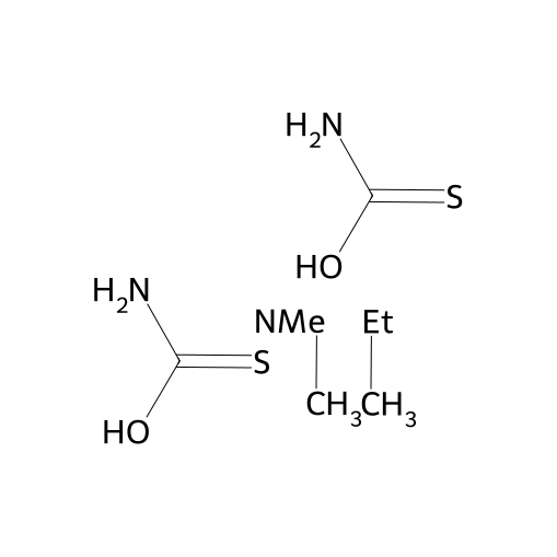 CCC.CNC.NC(O)=S.NC(O)=S